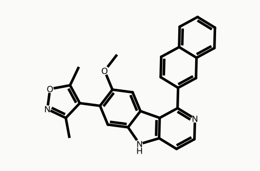 COc1cc2c(cc1-c1c(C)noc1C)[nH]c1ccnc(-c3ccc4ccccc4c3)c12